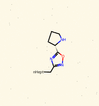 CCCCCCCCc1noc([C@@H]2CCCN2)n1